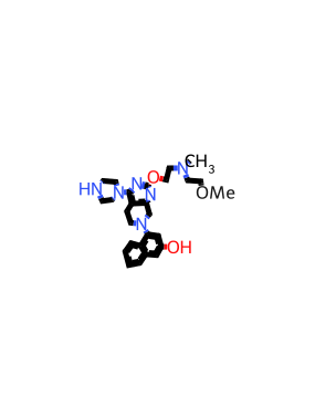 COCCN(C)CCOc1nc2c(c(N3CCNCC3)n1)CCN(c1cc(O)cc3ccccc13)C2